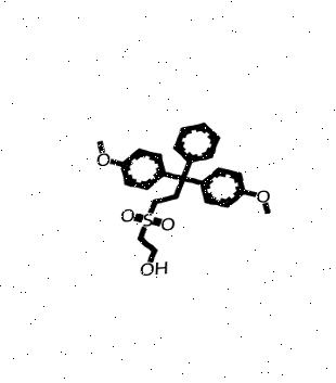 COc1ccc(C(CCS(=O)(=O)CCO)(c2ccccc2)c2ccc(OC)cc2)cc1